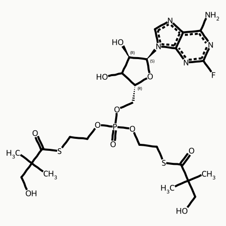 CC(C)(CO)C(=O)SCCOP(=O)(OCCSC(=O)C(C)(C)CO)OC[C@H]1O[C@H](n2cnc3c(N)nc(F)nc32)[C@H](O)C1O